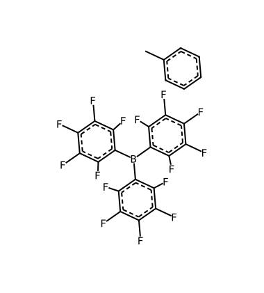 Cc1ccccc1.Fc1c(F)c(F)c(B(c2c(F)c(F)c(F)c(F)c2F)c2c(F)c(F)c(F)c(F)c2F)c(F)c1F